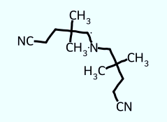 CC(C)([CH][N]CC(C)(C)CCC#N)CCC#N